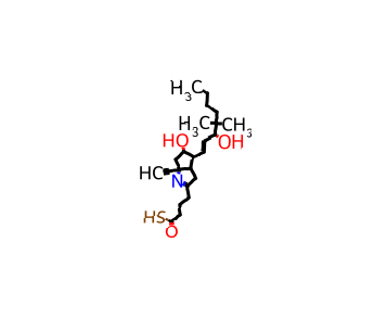 C#CC12CC(O)C(/C=C/C(O)C(C)(C)CCCC)C1CC(CCCC(=O)S)=N2